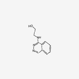 OCCNc1nncc2ccccc12